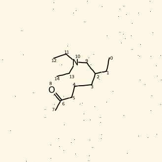 CCC(CCCC(C)=O)CN(CC)CC